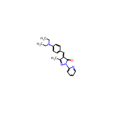 CCN(CC)c1ccc(C=C2C(=O)N(c3ccccn3)N=C2C)cc1